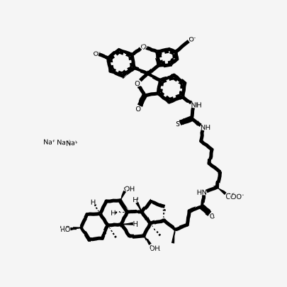 C[C@H](CCC(=O)N[C@@H](CCCCNC(=S)Nc1ccc2c(c1)C(=O)OC21c2ccc([O-])cc2Oc2cc([O-])ccc21)C(=O)[O-])[C@H]1CC[C@H]2[C@@H]3[C@H](O)C[C@@H]4C[C@H](O)CC[C@]4(C)[C@H]3C[C@H](O)[C@]12C.[Na+].[Na+].[Na+]